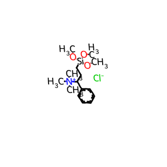 CO[Si](CCC(c1ccccc1)[N+](C)(C)C)(OC)OC.[Cl-]